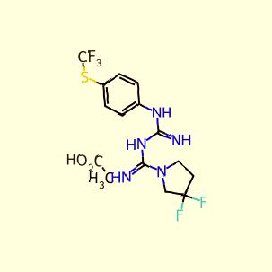 CC(=O)O.N=C(NC(=N)N1CCC(F)(F)C1)Nc1ccc(SC(F)(F)F)cc1